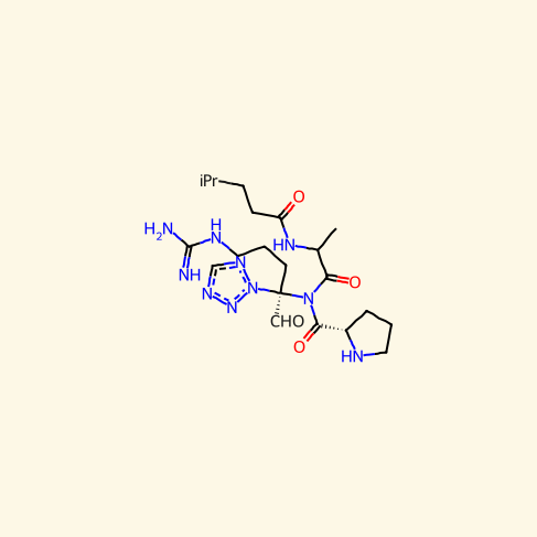 CC(C)CCC(=O)NC(C)C(=O)N(C(=O)[C@@H]1CCCN1)[C@](C=O)(CCCNC(=N)N)n1ncnn1